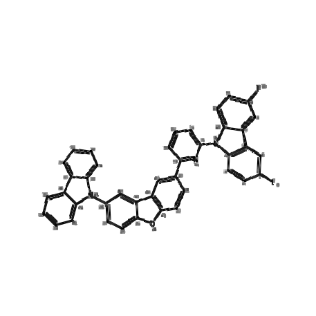 Fc1ccc2c(c1)c1cc(F)ccc1n2-c1cccc(-c2ccc3oc4ccc(-n5c6ccccc6c6ccccc65)cc4c3c2)n1